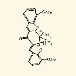 COc1cccc2c1O[C@@H]1C(=C2)C(=O)C2=Cc3cccc(OC)c3O[C@H]2C1(C)C